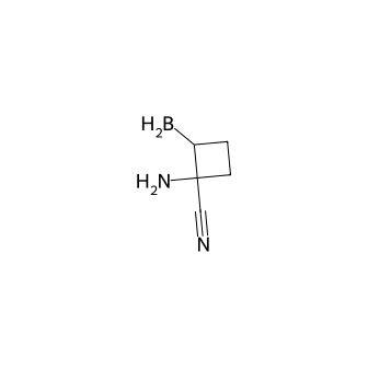 BC1CCC1(N)C#N